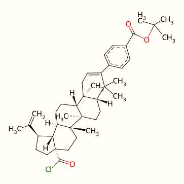 C=C(C)[C@@H]1CC[C@]2(C(=O)Cl)CC[C@]3(C)[C@H](CC[C@@H]4[C@@]5(C)CC=C(c6ccc(C(=O)OC(C)(C)C)cc6)C(C)(C)[C@@H]5CC[C@]43C)[C@@H]12